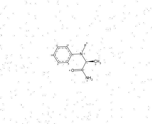 C[C@@H](C(N)=O)N(F)c1ccccc1